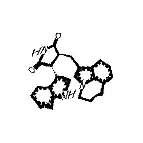 O=C1NC(=O)[C@@H](c2c[nH]c3ccccc23)[C@@H]1Cc1cn2c3c(cccc13)CCC2